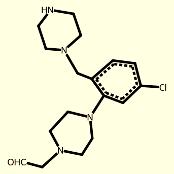 O=CCN1CCN(c2cc(Cl)ccc2CN2CCNCC2)CC1